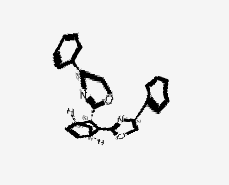 C1=C[C@H]2C[C@@H]1[C@H](C1=N[C@@H](c3ccccc3)CO1)C2C1=N[C@@H](c2ccccc2)CO1